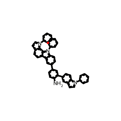 Nc1ccc(-c2ccc3c(c2)c2ccc4ccn(-c5ccccc5)c4c2n3-c2ccccc2)cc1-c1ccc2c(ccn2-c2ccccc2)c1